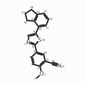 COc1ccc(-c2ncc(-c3cccc4c3CCC4)s2)cc1C#N